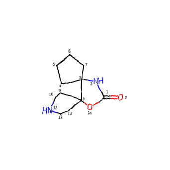 O=C1NC2(CCCC2)C2(CCNCC2)O1